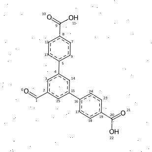 O=Cc1cc(-c2ccc(C(=O)O)cc2)cc(-c2ccc(C(=O)O)cc2)c1